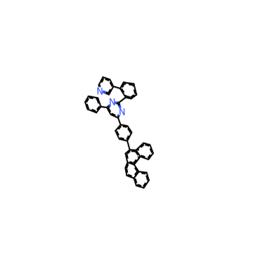 c1ccc(-c2cc(-c3ccc(-c4cc5ccc6ccccc6c5c5ccccc45)cc3)nc(-c3ccccc3-c3cccnc3)n2)cc1